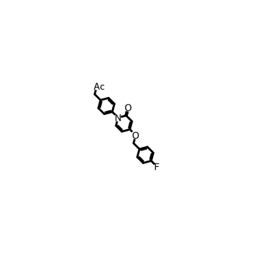 CC(=O)Cc1ccc(-n2ccc(OCc3ccc(F)cc3)cc2=O)cc1